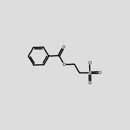 O=C(OCCS(=O)(=O)Cl)c1ccccc1